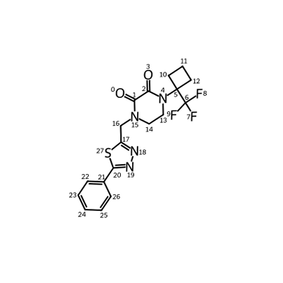 O=C1C(=O)N(C2(C(F)(F)F)CCC2)CCN1Cc1nnc(-c2ccccc2)s1